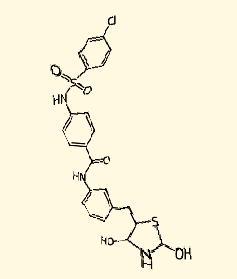 O=C(Nc1cccc(CC2SC(O)NC2O)c1)c1ccc(NS(=O)(=O)c2ccc(Cl)cc2)cc1